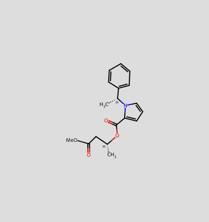 COC(=O)C[C@@H](C)OC(=O)c1cccn1[C@H](C)c1ccccc1